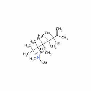 C=C(C)C(CCC)(C(C)CC)C(C)(C)C(C)(CC)C(C)(C(=C)N(C)CCCC)C(C)(C)CCC